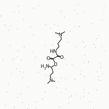 CN(C)CCCNC(=O)C(=O)OC(N)CCN(C)C